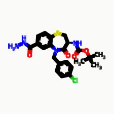 CC(C)(C)OC(=O)N[C@H]1CSc2ccc(C(=O)NN)cc2N(Cc2ccc(Cl)cc2)C1=O